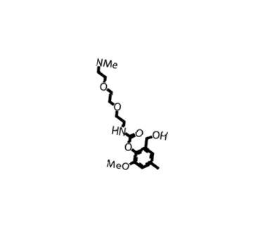 CNCCOCCOCCNC(=O)Oc1c(CO)cc(C)cc1OC